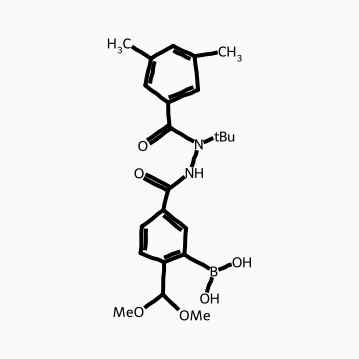 COC(OC)c1ccc(C(=O)NN(C(=O)c2cc(C)cc(C)c2)C(C)(C)C)cc1B(O)O